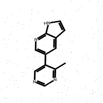 Cc1ncncc1-c1cnc2[nH]ccc2c1